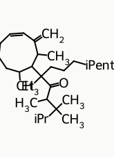 C=C1/C=C\CCCC(C)C(C(CC)(CCCC(C)CCC)C(=O)C(C)C(C)(C)C(C)C)C1C